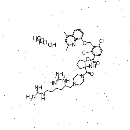 Cc1cc(C)c2cccc(OCc3c(Cl)ccc(S(=O)(=O)NC4(C(=O)N5CCN(C[C@@H](CCCCNC(=N)N)NC(=N)N)CC5)CCCC4)c3Cl)c2n1.Cl.Cl.Cl.Cl